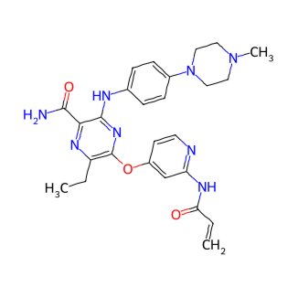 C=CC(=O)Nc1cc(Oc2nc(Nc3ccc(N4CCN(C)CC4)cc3)c(C(N)=O)nc2CC)ccn1